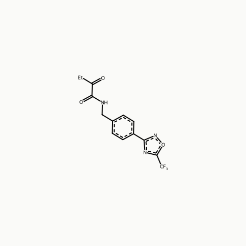 CCC(=O)C(=O)NCc1ccc(-c2noc(C(F)(F)F)n2)cc1